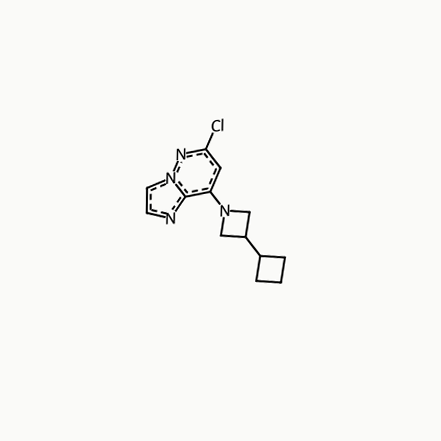 Clc1cc(N2CC(C3CCC3)C2)c2nccn2n1